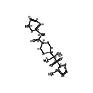 Cn1nccc1S(=O)(=O)C(C)(C)C1CCN(C(=O)NC2=CC=NNC2)CC1